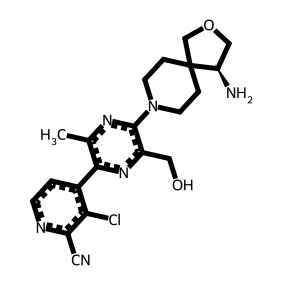 Cc1nc(N2CCC3(CC2)COC[C@H]3N)c(CO)nc1-c1ccnc(C#N)c1Cl